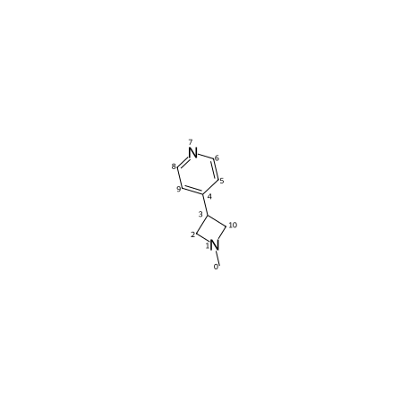 CN1CC(c2ccncc2)C1